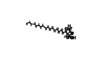 CCCCCCCCCCCCCCCCCC(=O)C(C)(CN)S(=O)(=O)O